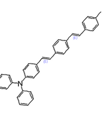 Cc1ccc(/C=C/c2ccc(/C=C/c3ccc(N(c4ccccc4)c4ccccc4)cc3)cc2)cc1